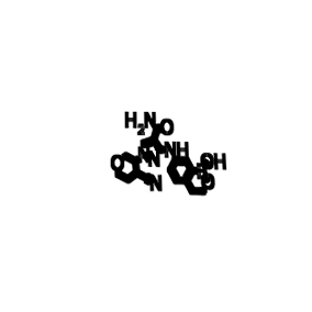 N#CC1CCOCC1n1cc(C(N)=O)c(Nc2ccc3c(c2)B(O)OCC3)n1